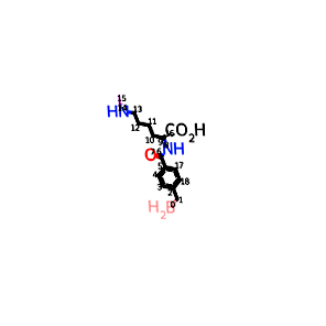 BCc1ccc(C(=O)NC(CCCCNI)C(=O)O)cc1